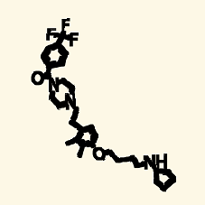 Cc1c(CCN2CCN(C(=O)c3ccc(C(F)(F)F)cc3)CC2)ccc(OCCCCNC2CCCC2)c1C